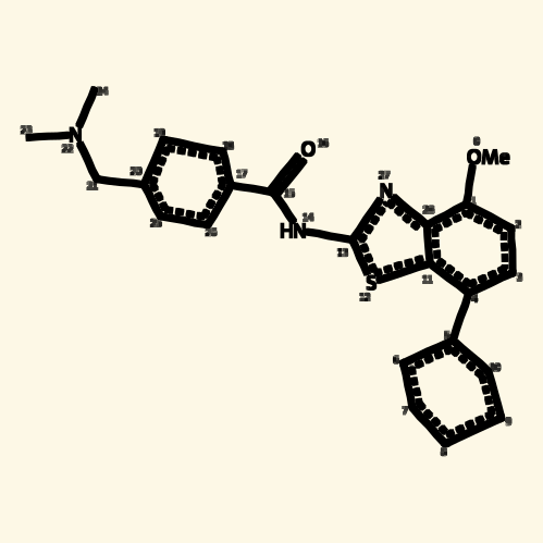 COc1ccc(-c2ccccc2)c2sc(NC(=O)c3ccc(CN(C)C)cc3)nc12